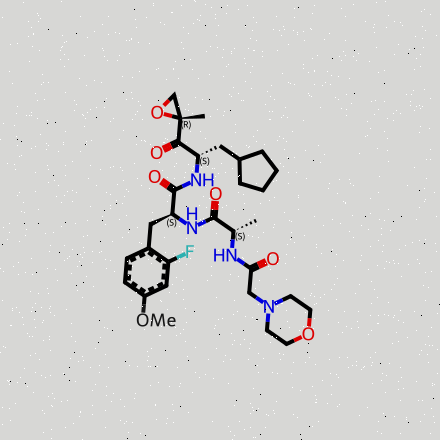 COc1ccc(C[C@H](NC(=O)[C@H](C)NC(=O)CN2CCOCC2)C(=O)N[C@@H](CC2CCCC2)C(=O)[C@@]2(C)CO2)c(F)c1